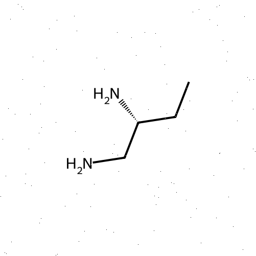 CC[C@@H](N)CN